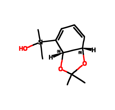 CC1(C)O[C@H]2C=CC=C([Si](C)(C)O)[C@H]2O1